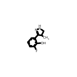 CC1CNN=C1c1cccc(F)c1O